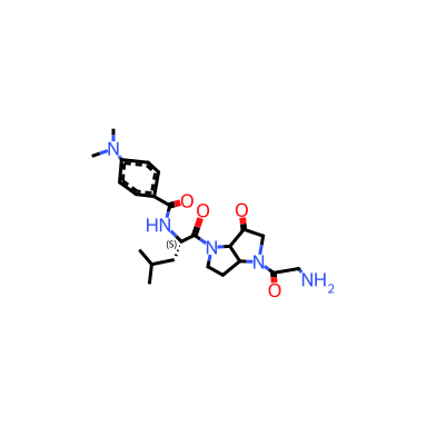 CC(C)C[C@H](NC(=O)c1ccc(N(C)C)cc1)C(=O)N1CCC2C1C(=O)CN2C(=O)CN